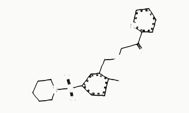 O=C(COCc1cc(S(=O)(=O)N2CCCCC2)ccc1Cl)c1ccccn1